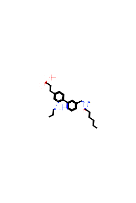 CCCCCC(=O)N(C)Cc1cccc(-c2ccc(CCC(=O)O)cc2NCCC)c1